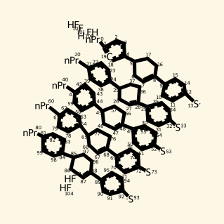 CCCc1ccc(C2CC=C(c3ccc([S])cc3)CC2)cc1.CCCc1ccc(C2CC=C(c3ccc([S])cc3)CC2)cc1.CCCc1ccc(C2CC=C(c3ccc([S])cc3)CC2)cc1.CCCc1ccc(C2CC=C(c3ccc([S])cc3)CC2)cc1.CCCc1ccc(C2CC=C(c3ccc([S])cc3)CC2)cc1.F.F.F.F.F